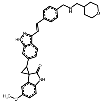 COc1ccc2c(c1)C1(CC1c1ccc3c(/C=C/c4ccc(CNCC5CCOCC5)cc4)n[nH]c3c1)C(=O)N2